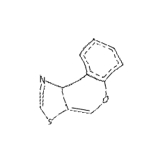 C1=NC2C(=COc3ccccc32)S1